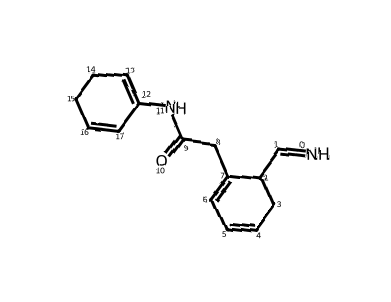 N=CC1CC=CC=C1CC(=O)NC1=CCCC=C1